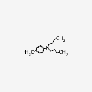 [CH2]c1ccc(N(CCCC)CCCC)cc1